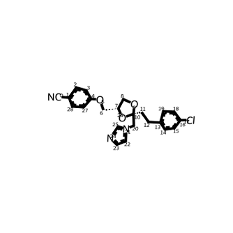 N#Cc1ccc(OC[C@@H]2CO[C@@](CCc3ccc(Cl)cc3)(Cn3ccnc3)O2)cc1